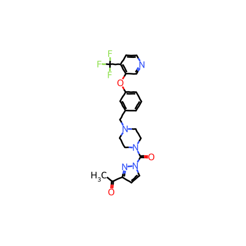 CC(=O)c1ccn(C(=O)N2CCN(Cc3cccc(Oc4cnccc4C(F)(F)F)c3)CC2)n1